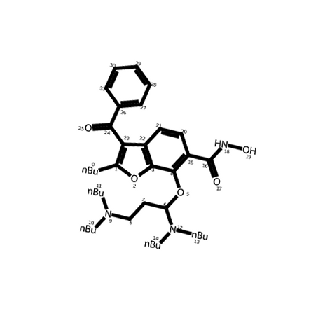 CCCCc1oc2c(OC(CCN(CCCC)CCCC)N(CCCC)CCCC)c(C(=O)NO)ccc2c1C(=O)c1ccccc1